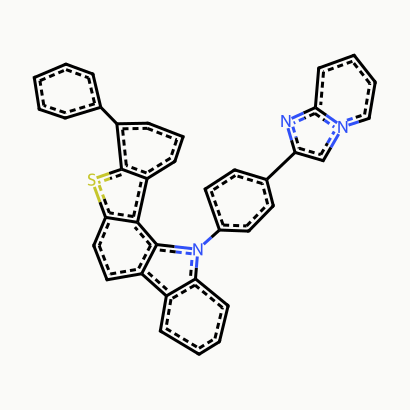 c1ccc(-c2cccc3c2sc2ccc4c5ccccc5n(-c5ccc(-c6cn7ccccc7n6)cc5)c4c23)cc1